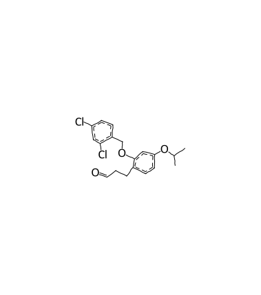 CC(C)Oc1ccc(CCC=O)c(OCc2ccc(Cl)cc2Cl)c1